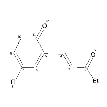 CCC(=O)C=CC1=CC(Cl)=CCC1=O